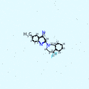 Cc1ccc2nc(N3CCC(F)(F)c4ccccc4C3)cc([N])c2c1